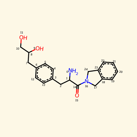 NC(Cc1ccc(CC(O)CO)cc1)C(=O)N1Cc2ccccc2C1